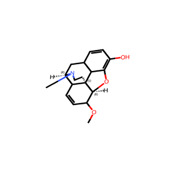 COC1C=CC2[C@H]3CC4C=CC(O)=C5O[C@@H]1[C@]2(CCN3C)C54